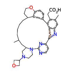 Cc1cc2nc3sc2c(c1CC(=O)O)-c1ccc2c(c1)C(CCCCC(C)CC1CN(C4COC4)CCN1c1nccc-3n1)CCO2